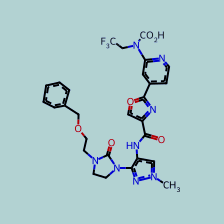 Cn1cc(NC(=O)c2coc(-c3ccnc(N(CC(F)(F)F)C(=O)O)c3)n2)c(N2CCN(CCOCc3ccccc3)C2=O)n1